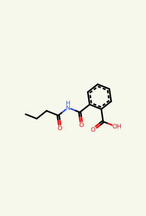 CCCC(=O)NC(=O)c1ccccc1C(=O)O